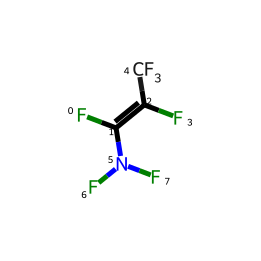 FC(=C(F)C(F)(F)F)N(F)F